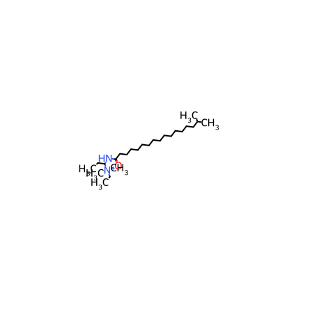 CCC(NC(=O)CCCCCCCCCCCCCCC(C)C)[N+](C)(C)CC